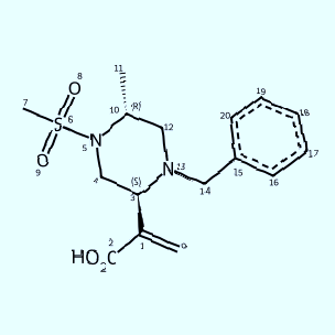 C=C(C(=O)O)[C@H]1CN(S(C)(=O)=O)[C@H](C)CN1Cc1ccccc1